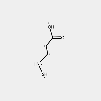 O=C(O)CCNS